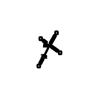 [O]=[Zn][Mo](=[O])(=[O])=[O]